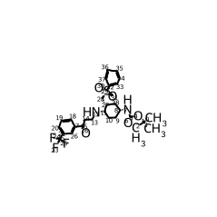 CC(C)(C)OC(=O)N[C@@H]1CC[C@H](NCCC(=O)c2cccc(C(F)(F)F)c2)[C@H](CS(=O)(=O)c2ccccc2)C1